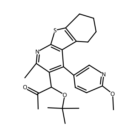 COc1ccc(-c2c(C(OC(C)(C)C)C(C)=O)c(C)nc3sc4c(c23)CCCC4)cn1